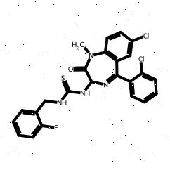 CN1C(=O)C(NC(=S)NCc2ccccc2F)N=C(c2ccccc2Cl)c2cc(Cl)ccc21